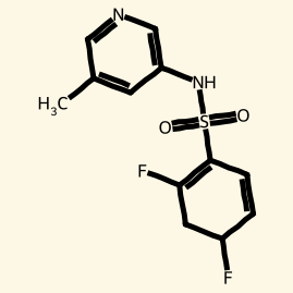 Cc1cncc(NS(=O)(=O)C2=C(F)CC(F)C=C2)c1